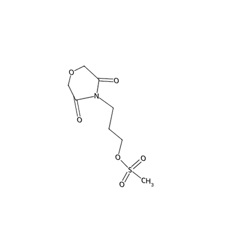 CS(=O)(=O)OCCCN1C(=O)COCC1=O